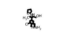 Cc1c(-c2cc(Cl)c3cnc(N)cc3c2)c(CO)nn1C1CCCCO1